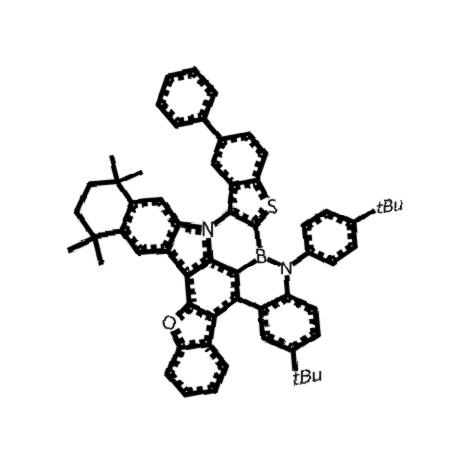 CC(C)(C)c1ccc(N2B3c4sc5ccc(-c6ccccc6)cc5c4-n4c5cc6c(cc5c5c7oc8ccccc8c7c(c3c54)-c3cc(C(C)(C)C)ccc32)C(C)(C)CCC6(C)C)cc1